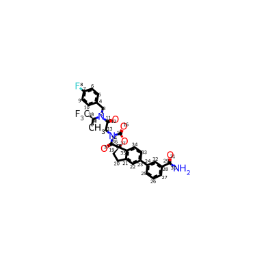 C[C@H](N(Cc1ccc(F)cc1)C(=O)CN1C(=O)O[C@@]2(CCc3cc(-c4cccc(C(N)=O)c4)ccc32)C1=O)C(F)(F)F